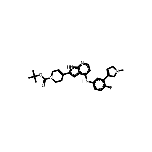 CN1CC=C(c2cc(Nc3ccnc4[nH]c(C5=CCN(C(=O)OC(C)(C)C)CC5)cc34)ccc2F)C1